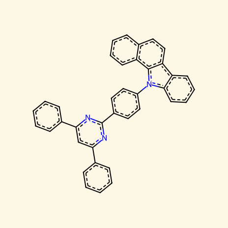 c1ccc(-c2cc(-c3ccccc3)nc(-c3ccc(-n4c5ccccc5c5ccc6ccccc6c54)cc3)n2)cc1